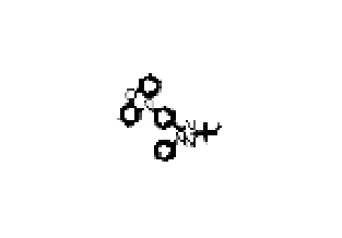 CCC(C)(C)c1nc(-c2ccc(N3c4ccccc4Oc4ccccc43)cc2)n(-c2ccccc2)n1